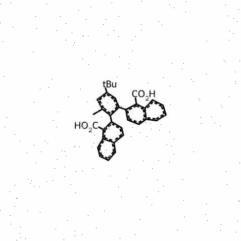 Cc1cc(C(C)(C)C)cc(-c2ccc3ccccc3c2C(=O)O)c1-c1ccc2ccccc2c1C(=O)O